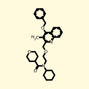 Cc1c(COCCN(C(=O)C2CCOCC2)C2CCCCC2)nc2ccccc2c1OCc1ccccc1